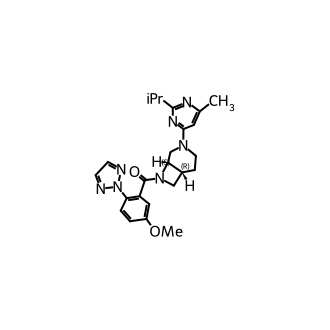 COc1ccc(-n2nccn2)c(C(=O)N2C[C@H]3CCN(c4cc(C)nc(C(C)C)n4)C[C@H]32)c1